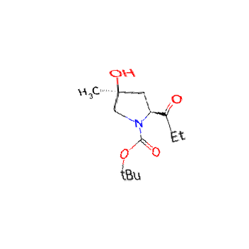 CCC(=O)[C@@H]1C[C@](C)(O)CN1C(=O)OC(C)(C)C